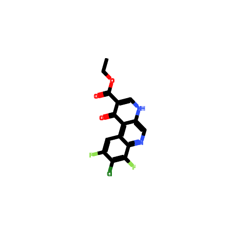 CCOC(=O)c1c[nH]c2cnc3c(F)c(Cl)c(F)cc3c2c1=O